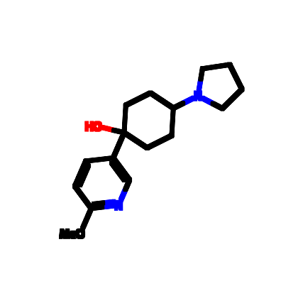 COc1ccc(C2(O)CCC(N3CCCC3)CC2)cn1